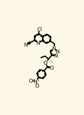 CC[C@](C)(OC(=O)c1ccc([N+](=O)[O-])cc1)c1cn(Cc2ccc3c(Cl)cc(C#N)nc3c2)nn1